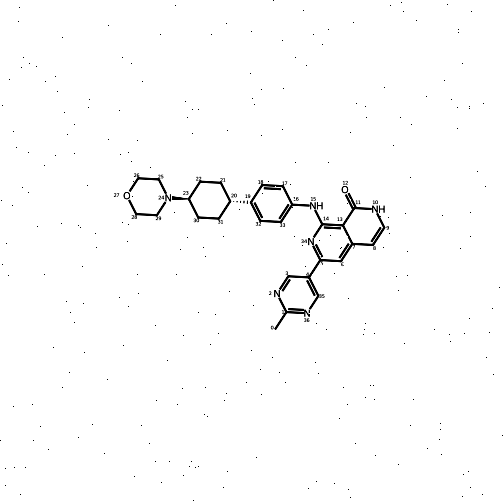 Cc1ncc(-c2cc3cc[nH]c(=O)c3c(Nc3ccc([C@H]4CC[C@H](N5CCOCC5)CC4)cc3)n2)cn1